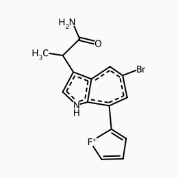 CC(C(N)=O)c1c[nH]c2c(C3=CC=C[F+]3)cc(Br)cc12